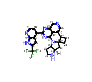 FC(F)(F)c1cc2c(-c3nc(N4CC[C@H]5NCCC54)c4c(C5CCC5)cncc4n3)ccnc2[nH]1